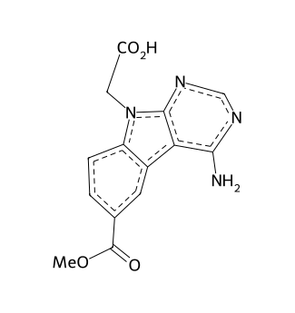 COC(=O)c1ccc2c(c1)c1c(N)ncnc1n2CC(=O)O